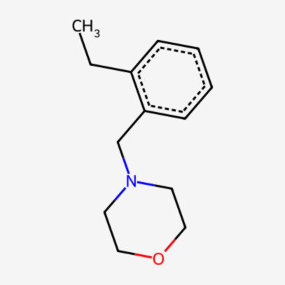 CCc1ccccc1CN1CCOCC1